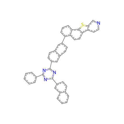 c1ccc(-c2nc(-c3ccc4ccccc4c3)nc(-c3ccc4cc(-c5cccc6c5ccc5c7ccncc7sc65)ccc4c3)n2)cc1